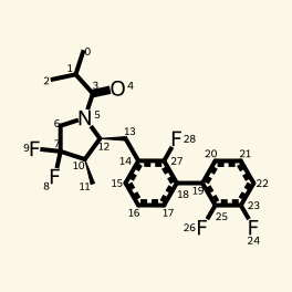 CC(C)C(=O)N1CC(F)(F)[C@H](C)[C@@H]1Cc1cccc(-c2cccc(F)c2F)c1F